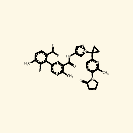 Cc1ccc(C(F)F)c(-c2cnc(C)c(C(=O)Nc3cnn(C4(c5cnc(N6CCCC6=O)c(C)n5)CC4)c3)n2)c1F